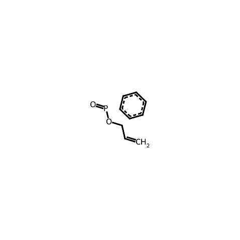 C=CCOP=O.c1ccccc1